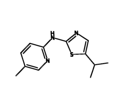 Cc1ccc(Nc2ncc(C(C)C)s2)nc1